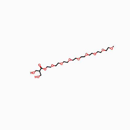 COCCOCCOCCOCCOCCOCCOCCOCCOC(=O)C(CO)CO